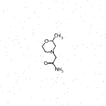 C[C@H]1CN(CC(N)=O)CCO1